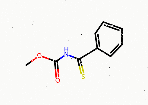 COC(=O)NC(=S)c1ccccc1